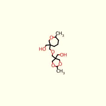 CC1CCCC(CO)(COCC2(CO)COC(C)OC2)CO1